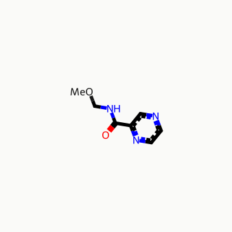 COCNC(=O)c1cnccn1